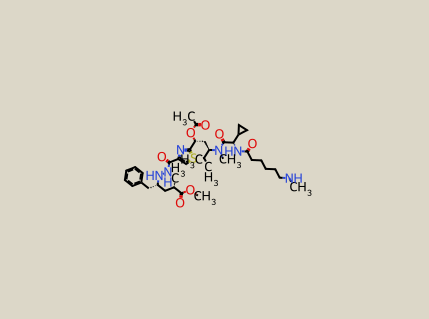 CNCCCCCC(=O)N[C@H](C(=O)N(C)[C@H](C[C@@H](OC(C)=O)c1nc(C(=O)NN[C@@H](Cc2ccccc2)C[C@H](C)C(=O)OC)cs1)C(C)C)C1CC1